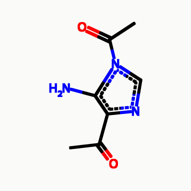 CC(=O)c1ncn(C(C)=O)c1N